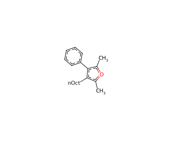 CCCCCCCCc1c(C)oc(C)c1-c1ccccc1